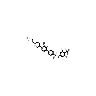 CCCC1CCC(c2ccc(-c3ccc(C(F)(F)Oc4cc(F)c(C(F)(F)F)c(F)c4)cc3)c(F)c2F)CO1